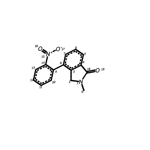 CN1Cc2c(cccc2-c2ccccc2[N+](=O)[O-])C1=O